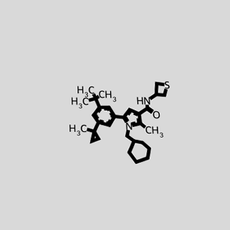 Cc1c(C(=O)NC2CSC2)cc(-c2cc(C(C)(C)C)cc(C3(C)CC3)c2)n1CC1CCCCC1